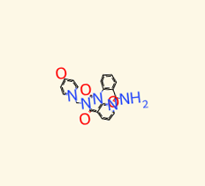 NC(=O)c1ccccc1-n1c(=O)n(Cn2ccc(=O)cc2)c(=O)c2cccnc21